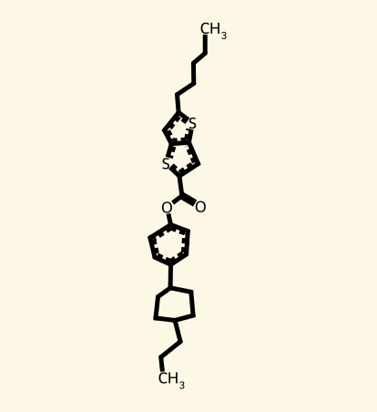 CCCCCc1cc2sc(C(=O)Oc3ccc(C4CCC(CCC)CC4)cc3)cc2s1